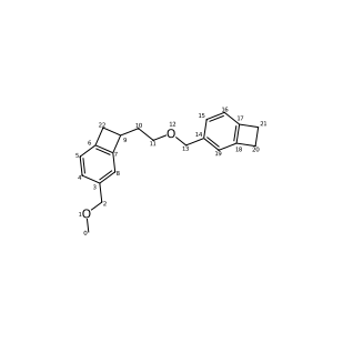 COCc1ccc2c(c1)C(CCOCc1ccc3c(c1)CC3)C2